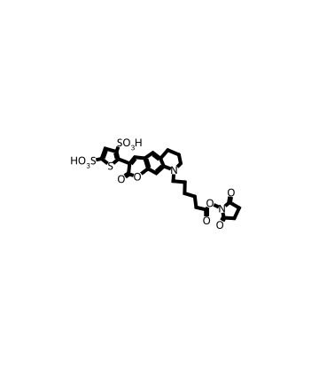 O=C(CCCCCN1CCCc2cc3cc(-c4sc(S(=O)(=O)O)cc4S(=O)(=O)O)c(=O)oc3cc21)ON1C(=O)CCC1=O